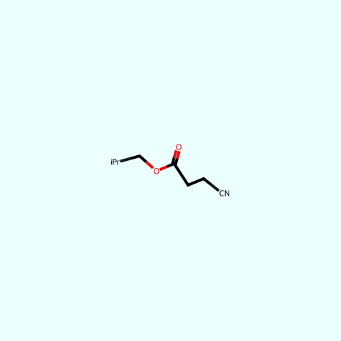 CC(C)COC(=O)CCC#N